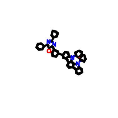 c1ccc(-c2nc(-c3ccccc3)c3oc4ccc(-c5ccc6c(c5)c5ccc7c8ccccc8n(-c8ccccc8)c7c5n6-c5ccccc5)cc4c3n2)cc1